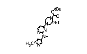 CC[C@H]1CN(c2ccnc(Nc3cnn(C)c3)n2)CCN1C(=O)OC(C)(C)C